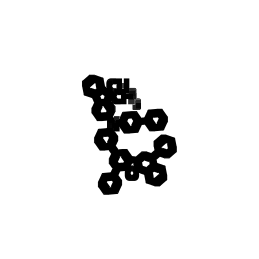 CC1(C)c2ccccc2-c2ccc(N(C3=CC=C(c4ccccc4)CC3)c3cccc(-c4cc(-c5ccccc5)c5oc6c7ccccc7c(-c7ccccc7)cc6c5c4)c3)cc21